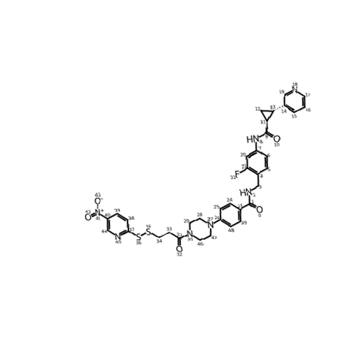 O=C(NCc1ccc(NC(=O)[C@H]2C[C@@H]2c2cccnc2)cc1F)c1ccc(N2CCN(C(=O)CCSSc3ccc([N+](=O)[O-])cn3)CC2)cc1